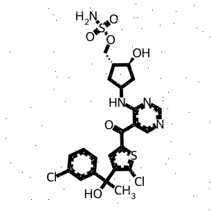 CC(O)(c1cccc(Cl)c1)c1cc(C(=O)c2cncnc2NC2C[C@H](COS(N)(=O)=O)[C@@H](O)C2)sc1Cl